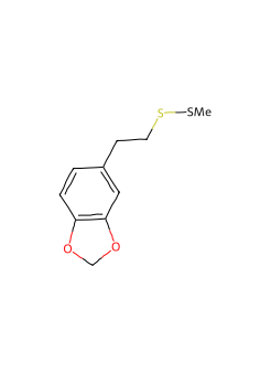 CSSCCc1ccc2c(c1)OCO2